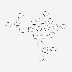 C1=CC(c2cc(-c3cccc(-c4nc(-c5ccccc5)nc(-c5ccccc5)n4)c3)cc(-c3ccccc3-c3ccccc3-c3cc(-c4cccc(-c5nc(-c6ccccc6)nc(-c6ccccc6)n5)c4)cc(-c4cccc(-c5nc(-c6ccccc6)nc(-c6ccccc6)n5)c4)c3)c2)=CC(c2nc(-c3ccccc3)nc(-c3ccccc3)n2)C1